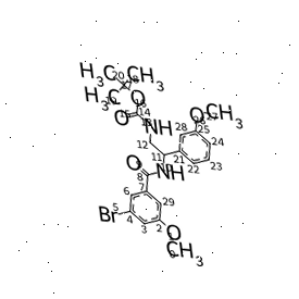 COc1cc(Br)cc(C(=O)NC(CNC(=O)OC(C)(C)C)c2cccc(OC)c2)c1